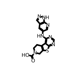 O=C(O)N1CCc2c(sc3ncnc(Nc4cnc5[nH]ncc5c4)c23)C1